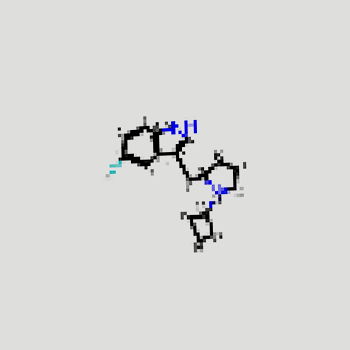 Fc1ccc2[nH]cc(CC3CCCN3C3CCC3)c2c1